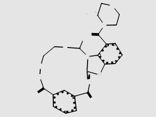 CC1CCCCNC(=O)c2cccc(c2)C(=O)/N=C2\Nc3cccc(C(=O)N4CCOC[C@H]4C)c3N21